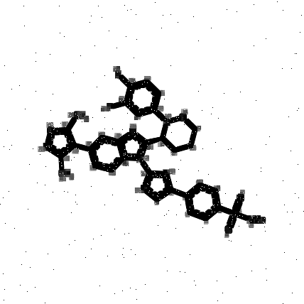 CNS(=O)(=O)c1ccc(-c2csc(-n3c([C@@H]4CCCON4c4ccc(F)c(F)c4)nc4cc(-c5c(C)noc5C)ccc43)n2)cc1